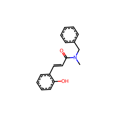 CN(Cc1ccccc1)C(=O)/C=C/c1ccccc1O